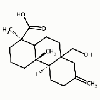 C=C1CC[C@@H]2C(CO)(CCC3[C@](C)(C(=O)O)CCC[C@]32C)C1